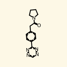 O=C(Cc1ccc(-c2nncnn2)cc1)N1CCCC1